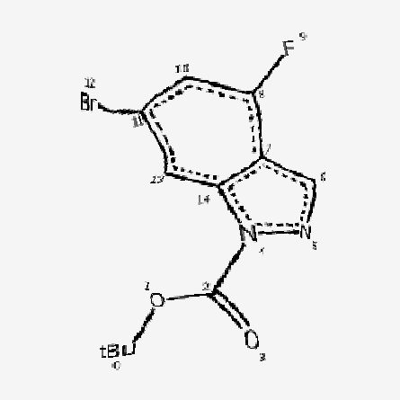 CC(C)(C)OC(=O)n1ncc2c(F)cc(Br)cc21